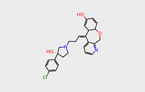 OC1=CC2/C(=C/CCN3CC[C@@](O)(c4ccc(Cl)cc4)C3)c3cccnc3COC2C=C1